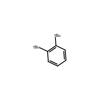 CC(C)(C)c1[c]cc[c]c1C(C)(C)C